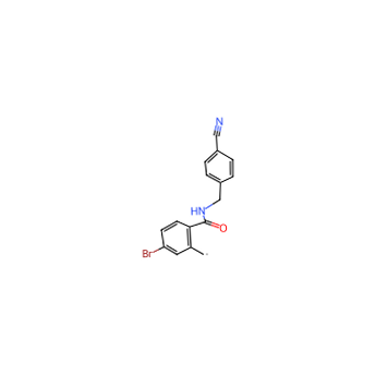 [CH2]c1cc(Br)ccc1C(=O)NCc1ccc(C#N)cc1